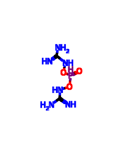 N=C(N)NO[PH](=O)ONC(=N)N